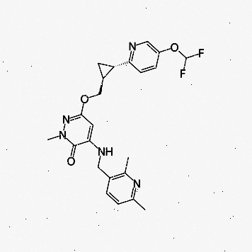 Cc1ccc(CNc2cc(OC[C@H]3C[C@@H]3c3ccc(OC(F)F)cn3)nn(C)c2=O)c(C)n1